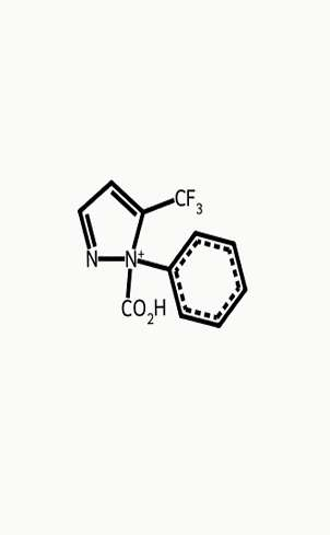 O=C(O)[N+]1(c2ccccc2)N=CC=C1C(F)(F)F